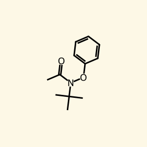 CC(=O)N(Oc1ccccc1)C(C)(C)C